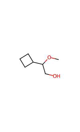 COC(CO)C1CCC1